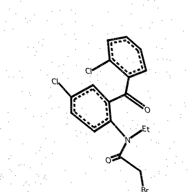 CCN(C(=O)CBr)c1ccc(Cl)cc1C(=O)c1ccccc1Cl